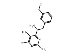 Nc1nc(Cl)c(N)c(N(N)Cc2cccc(CCl)n2)n1